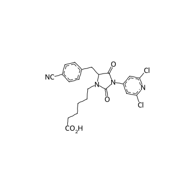 N#Cc1ccc(CC2C(=O)N(c3cc(Cl)nc(Cl)c3)C(=O)N2CCCCCC(=O)O)cc1